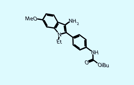 CCn1c(-c2ccc(NC(=O)OCC(C)C)cc2)c(N)c2ccc(OC)cc21